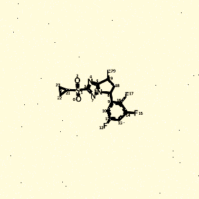 O=S(=O)(c1nc2n(n1)C(c1cc(F)cc(F)c1F)CC2F)C1CC1